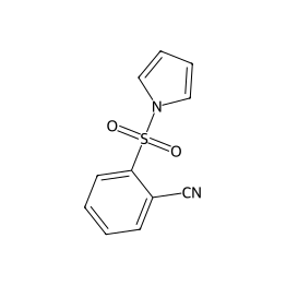 N#Cc1ccccc1S(=O)(=O)n1cccc1